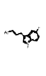 CC(=O)CCCc1c[nH]c2ccc(F)cc12